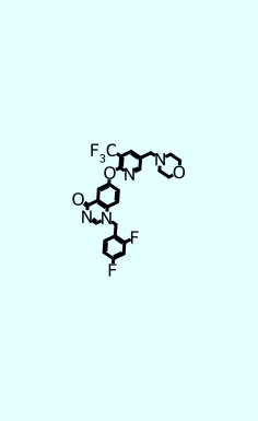 O=c1ncn(Cc2ccc(F)cc2F)c2ccc(Oc3ncc(CN4CCOCC4)cc3C(F)(F)F)cc12